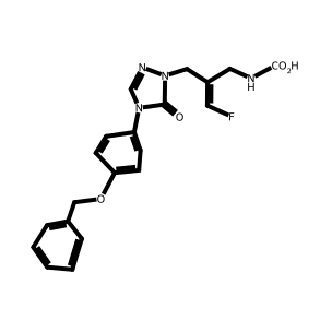 O=C(O)NCC(=CF)Cn1ncn(-c2ccc(OCc3ccccc3)cc2)c1=O